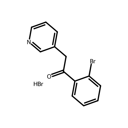 Br.O=C(Cc1cccnc1)c1ccccc1Br